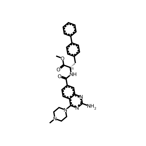 COC(=O)[C@H](Cc1ccc(-c2ccccc2)cc1)NC(=O)c1ccc2c(N3CCN(C)CC3)nc(N)nc2c1